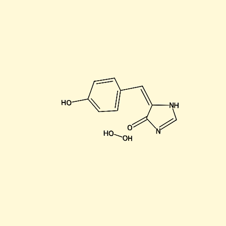 O=C1N=CNC1=Cc1ccc(O)cc1.OO